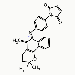 C=C1C2=C(OC(C)(C)CC2)c2ccccc2/C1=N\c1ccc(N2C(=O)C=CC2=O)cc1